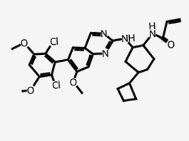 C=CC(=O)NC1CCC(C2CCC2)CC1Nc1ncc2cc(-c3c(Cl)c(OC)cc(OC)c3Cl)c(OC)cc2n1